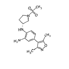 Cc1noc(C)c1-c1ccc(N[C@@H]2CCN(S(C)(=O)=O)C2)c(N)c1